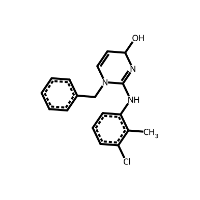 Cc1c(Cl)cccc1NC1=NC(O)C=CN1Cc1ccccc1